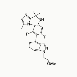 COCCn1ncc2c(-c3c(F)cc4c(c3F)-n3c(C)nnc3C(C)(C)N4)cccc21